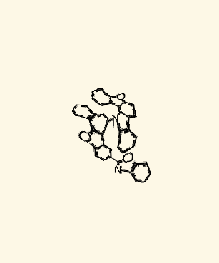 c1ccc2c(c1)cc(-n1c3ccccc3c3ccc4oc5ccccc5c4c31)c1c3cc(-c4nc5ccccc5o4)ccc3oc21